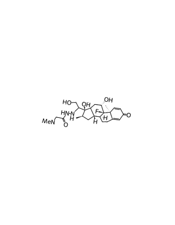 CNCC(=O)NNC(CO)[C@@]1(O)[C@H](C)C[C@H]2[C@@H]3CCC4=CC(=O)C=C[C@]4(C)[C@@]3(F)[C@@H](O)C[C@@]21C